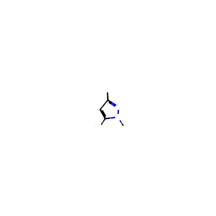 Cn1nc(C(F)(F)F)cc1C(C)(C)C